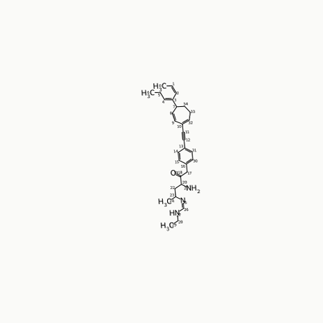 C/C=C\C(=C/CC)C1C=CC(C#Cc2ccc(CC(=O)C(N)CC(C)/N=C\NCC)cc2)=CCC1